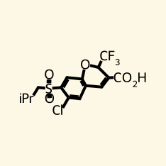 CC(C)CS(=O)(=O)c1cc2c(cc1Cl)C=C(C(=O)O)C(C(F)(F)F)O2